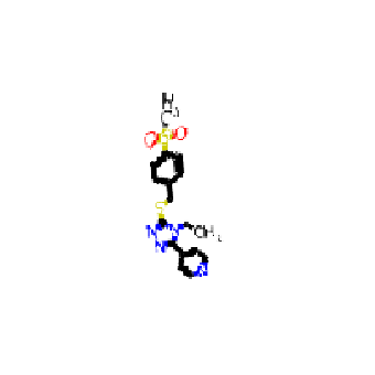 CCn1c(SCc2ccc(S(C)(=O)=O)cc2)nnc1-c1ccncc1